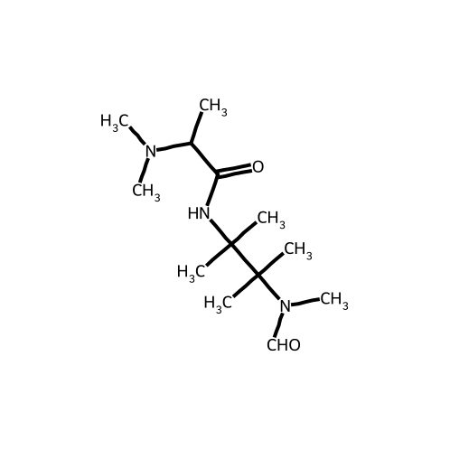 CC(C(=O)NC(C)(C)C(C)(C)N(C)C=O)N(C)C